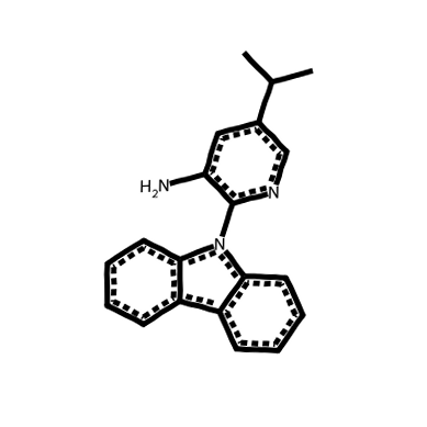 CC(C)c1cnc(-n2c3ccccc3c3ccccc32)c(N)c1